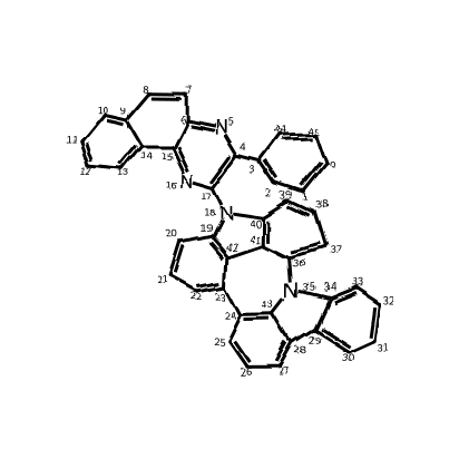 c1ccc(-c2nc3ccc4ccccc4c3nc2-n2c3cccc4c5cccc6c7ccccc7n(c7cccc2c7c43)c56)cc1